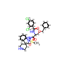 CS(=O)(=O)[N+]1(NC(=O)C(COCc2ccccc2)NC(=O)c2ccc(Cl)cc2Cl)CC2(CCNCC2)c2ccccc21